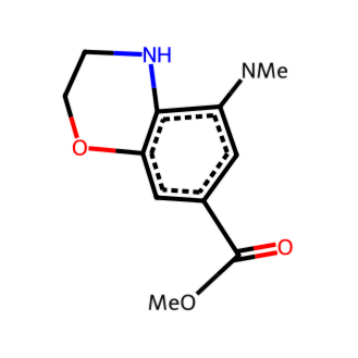 CNc1cc(C(=O)OC)cc2c1NCCO2